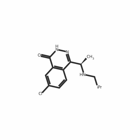 CC(C)CN[C@H](C)c1n[nH]c(=O)c2cc(Cl)ccc12